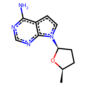 C[C@@H]1CC[C@H](n2ccc3c(N)ncnc32)O1